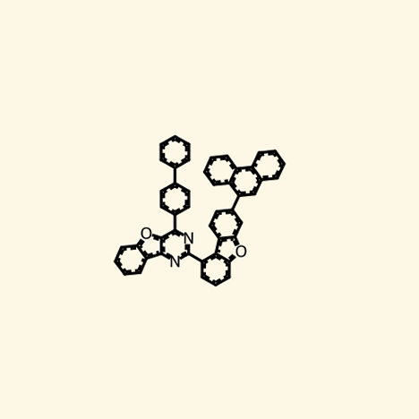 c1ccc(-c2ccc(-c3nc(-c4cccc5oc6cc(-c7cc8ccccc8c8ccccc78)ccc6c45)nc4c3oc3ccccc34)cc2)cc1